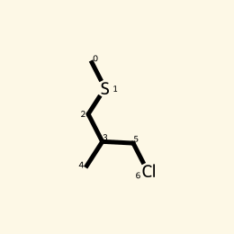 CSCC(C)CCl